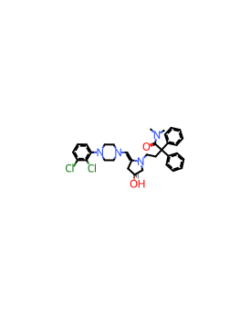 CN(C)C(=O)C(CCN1C[C@H](O)CC1=CN1CCN(c2cccc(Cl)c2Cl)CC1)(c1ccccc1)c1ccccc1